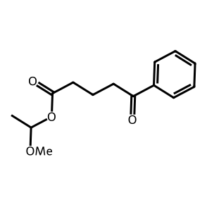 COC(C)OC(=O)CCCC(=O)c1ccccc1